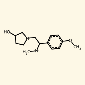 C[N]C(CN1CCC(O)C1)c1ccc(OC)cc1